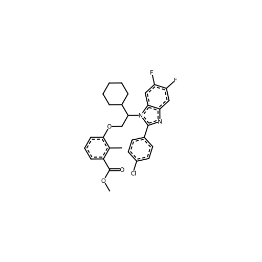 COC(=O)c1cccc(OCC(C2CCCCC2)n2c(-c3ccc(Cl)cc3)nc3cc(F)c(F)cc32)c1C